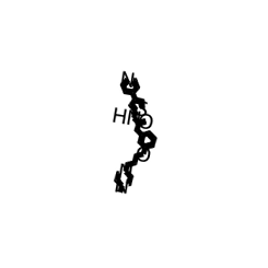 CN1CCN(CCCOc2cccc(CC(=O)Nc3cc(-c4ccncc4)cs3)c2)CC1